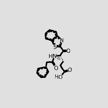 O=C(O)CC[C@H](NC(=O)Cc1ccccc1)C(=O)c1nc2ccccc2s1